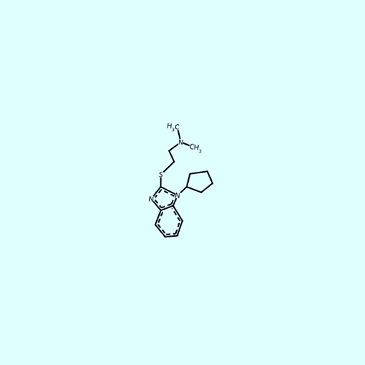 CN(C)CCSc1nc2ccccc2n1C1CCCC1